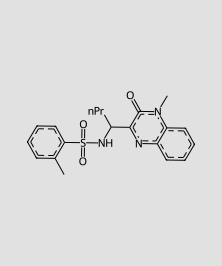 CCCC(NS(=O)(=O)c1ccccc1C)c1nc2ccccc2n(C)c1=O